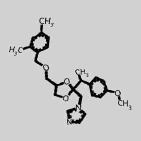 COc1ccc(C(C)C2(Cn3ccnc3)OCC(COCc3ccc(C)cc3C)O2)cc1